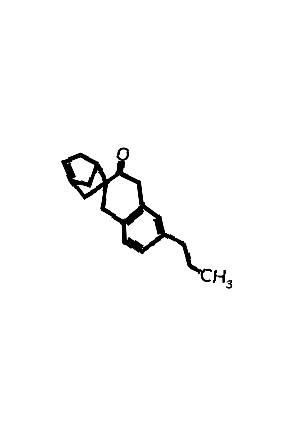 CCCc1ccc2c(c1)CC(=O)C1(CC3=CCC1C3)C2